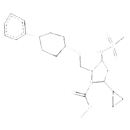 COC(=O)N1C(C2CC2)CC(NS(C)(=O)=O)C1CO[C@H]1CC[C@@H](c2ccccc2)CC1